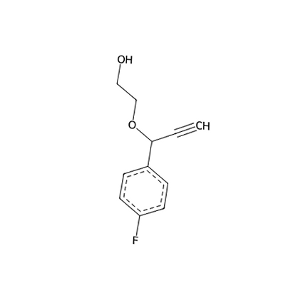 C#CC(OCCO)c1ccc(F)cc1